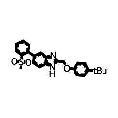 CC(C)(C)c1ccc(OCc2nc3cc(-c4ccccc4S(C)(=O)=O)ccc3[nH]2)cc1